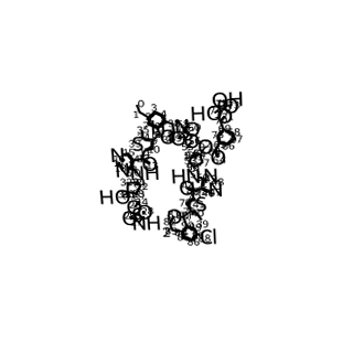 CCc1ccc2c(c1)[C@H](c1cc(C(=O)c3cncnc3N[C@@H]3C[C@H](COS(N)(=O)=O)[C@@H](O)C3)sc1C)OCC2.Cc1sc(C(=O)c2cncnc2N[C@@H]2C[C@H](COS(N)(=O)=O)[C@@H](OC(=O)c3cccc(COP(=O)(O)O)c3)C2)cc1[C@@H]1OCCc2ccc(Cl)cc21